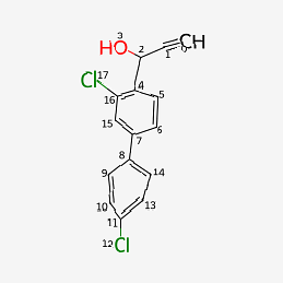 C#CC(O)c1ccc(-c2ccc(Cl)cc2)cc1Cl